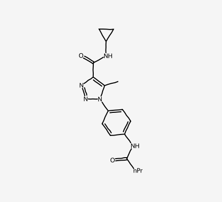 CCCC(=O)Nc1ccc(-n2nnc(C(=O)NC3CC3)c2C)cc1